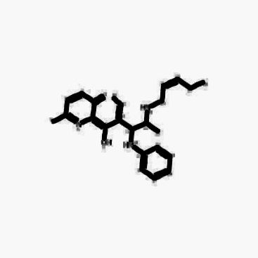 C=c1ccc(C)n/c1=C(O)/C(=C\C)C(Nc1ccccc1)C(C)NC/C=C\CC